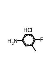 Cc1cc(N)ccc1F.Cl